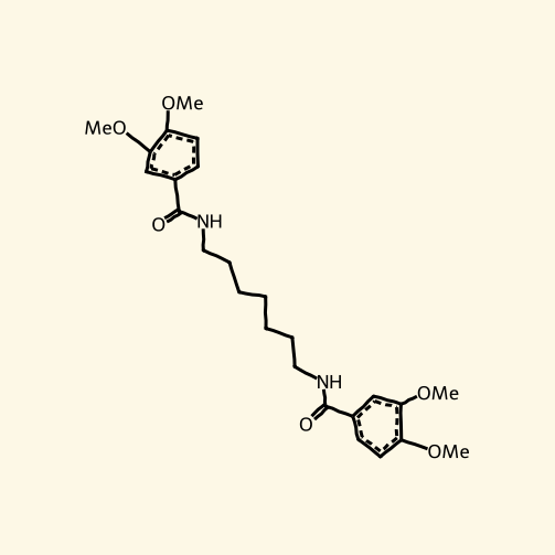 COc1ccc(C(=O)NCCCCCCCNC(=O)c2ccc(OC)c(OC)c2)cc1OC